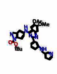 COc1cc2nc(-c3cccc(NCc4cccnc4)c3)nc(Nc3ccc4c(cnn4C(=O)OC(C)(C)C)c3)c2cc1OC(C)=O